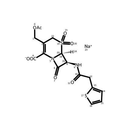 CC(=O)OCC1=C(C(=O)[O-])N2C(=O)[C@H](NC(=O)Cc3cccs3)[C@@H]2S(=O)(=O)C1.[Na+]